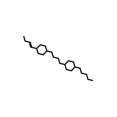 CCC=CC1CCC(CCCCC2CCC(CCCCC)CC2)CC1